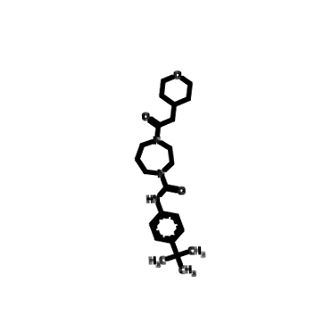 CC(C)(C)c1ccc(NC(=O)N2CCCN(C(=O)CC3CCOCC3)CC2)cc1